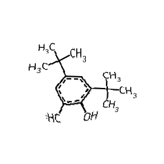 [CH]c1cc(C(C)(C)C)cc(C(C)(C)C)c1O